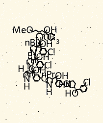 CC(O)(c1cccc(Cl)c1)C1CCCNC1.CCC(O)(c1cccc(Cl)c1)C1CCCNC1.CCCC(O)(c1cccc(Cl)c1)C1CCCNC1.CCCCC(O)(c1cccc(Cl)c1)C1CCCNC1.COCCCCC(O)(c1ccccc1)C1(C)CCCNC1.OC(c1cccc(Cl)c1)C1CCCNC1